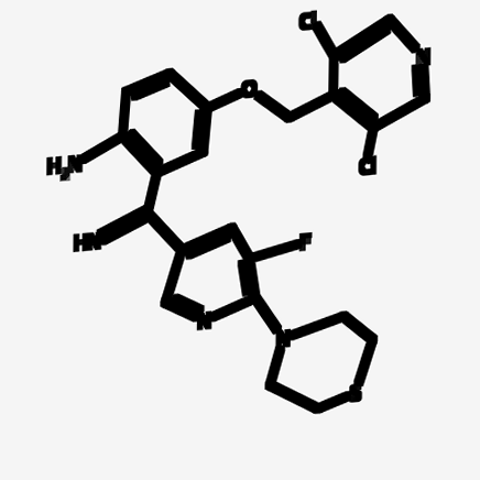 N=C(c1cnc(N2CCSCC2)c(F)c1)c1cc(OCc2c(Cl)cncc2Cl)ccc1N